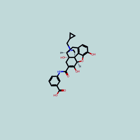 O=C(Nc1cccc(C(=O)O)c1)C1=C(O)[C@@H]2Oc3c(O)ccc4c3[C@@]23CCN(CC2CC2)[C@H](C4)[C@]3(O)C1